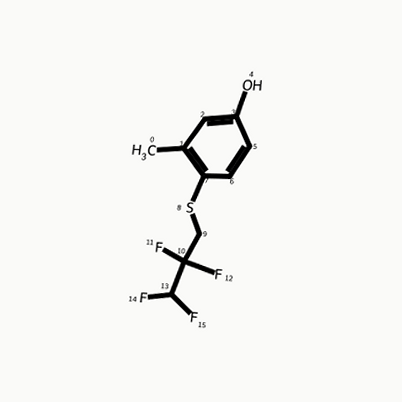 Cc1cc(O)ccc1SCC(F)(F)C(F)F